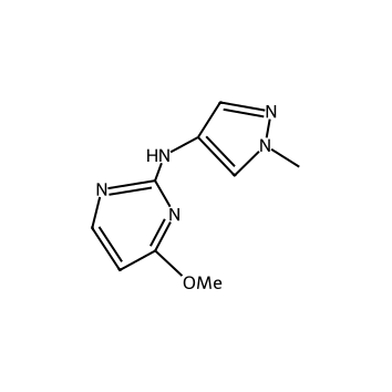 COc1ccnc(Nc2cnn(C)c2)n1